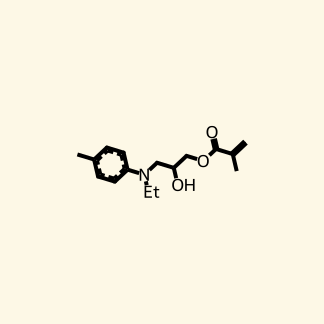 C=C(C)C(=O)OCC(O)CN(CC)c1ccc(C)cc1